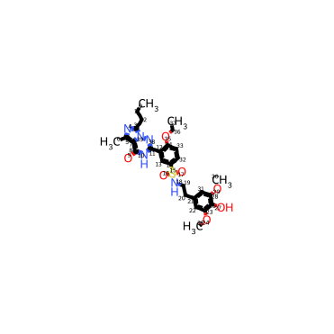 CCCc1nc(C)c2c(=O)[nH]c(-c3cc(S(=O)(=O)NCCc4cc(OC)c(O)c(OC)c4)ccc3OCC)nn12